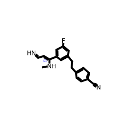 CN/C(=C\C=N)c1cc(F)cc(CCc2ccc(C#N)cc2)c1